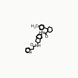 Cc1ccc(C2=C(C(=O)Nc3ccc4c(c3)CC(NC(=O)Cc3ccccn3)C4)CCCC2)cc1